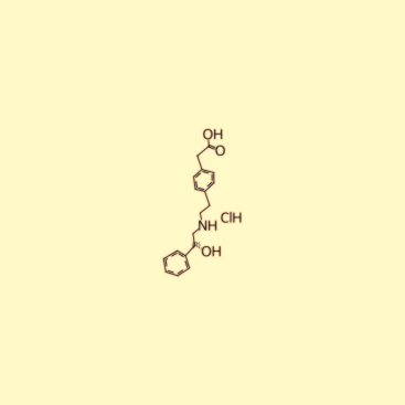 Cl.O=C(O)Cc1ccc(CCNC[C@H](O)c2ccccc2)cc1